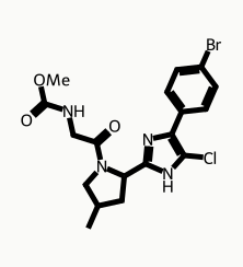 COC(=O)NCC(=O)N1CC(C)CC1c1nc(-c2ccc(Br)cc2)c(Cl)[nH]1